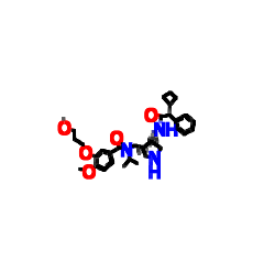 COCCCOc1cc(C(=O)N(C[C@@H]2CNC[C@H]2CNC(=O)C(c2ccccc2)C2CCC2)C(C)C)ccc1OC